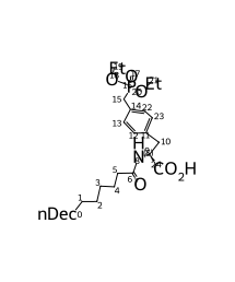 CCCCCCCCCCCCCCCC(=O)N[C@@H](Cc1ccc(CP(=O)(OCC)OCC)cc1)C(=O)O